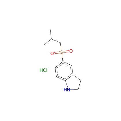 CC(C)CS(=O)(=O)c1ccc2c(c1)CCN2.Cl